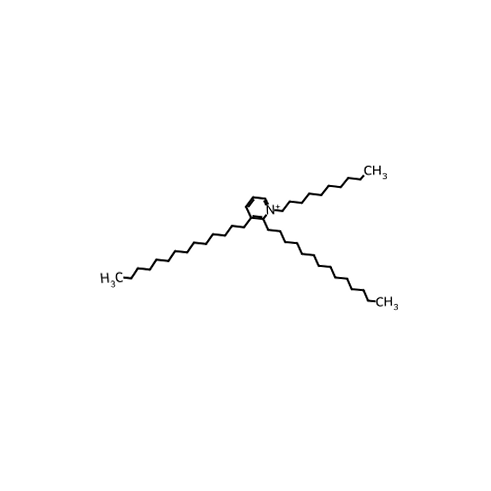 CCCCCCCCCCCCCCc1ccc[n+](CCCCCCCCCC)c1CCCCCCCCCCCCCC